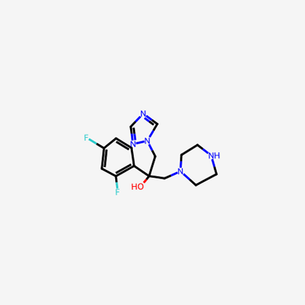 OC(CN1CCNCC1)(Cn1cncn1)c1ccc(F)cc1F